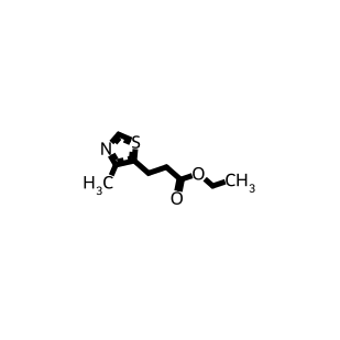 CCOC(=O)CCc1scnc1C